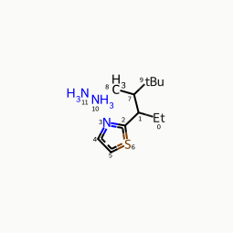 CCC(c1nccs1)C(C)C(C)(C)C.N.N